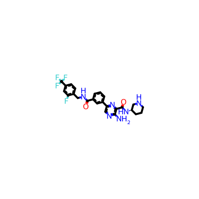 Nc1ncc(-c2cccc(C(=O)NCc3ccc(C(F)(F)F)cc3F)c2)nc1C(=O)N[C@H]1CCCNC1